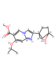 COC(=O)c1cn2cc(C34CCC(C)(C3)OC4)nc2cc1OC(C)C